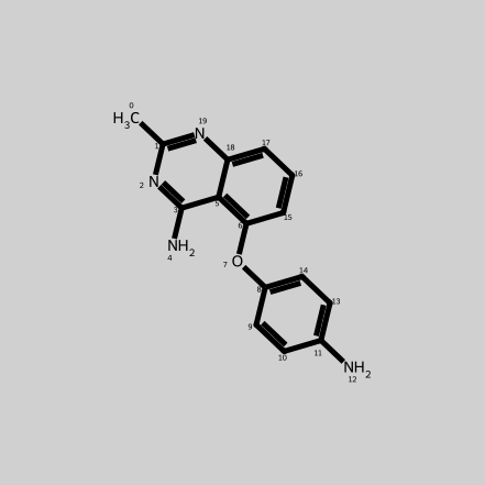 Cc1nc(N)c2c(Oc3ccc(N)cc3)cccc2n1